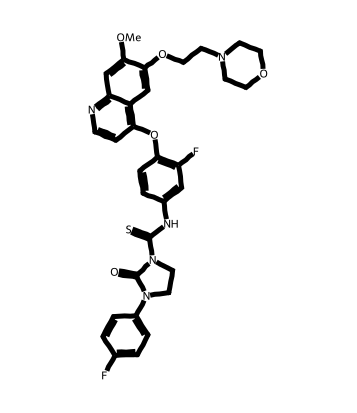 COc1cc2nccc(Oc3ccc(NC(=S)N4CCN(c5ccc(F)cc5)C4=O)cc3F)c2cc1OCCN1CCOCC1